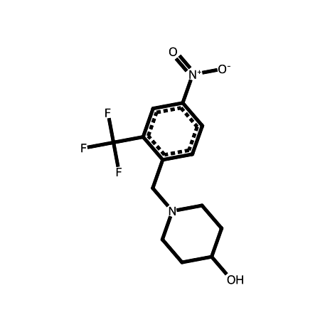 O=[N+]([O-])c1ccc(CN2CCC(O)CC2)c(C(F)(F)F)c1